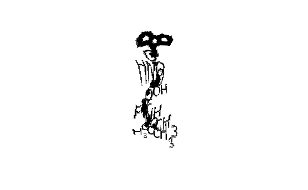 CC(C)(C)OC(=O)NCC(F)(F)COC[C@H](NC(=O)OCC1c2ccccc2-c2ccccc21)C(=O)O